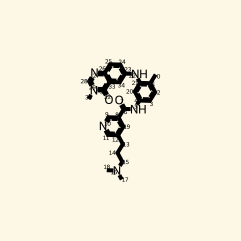 Cc1ccc(NC(=O)c2cncc(CCCN(C)C)c2)cc1Nc1ccc2ncn(C)c(=O)c2c1